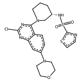 O=S(=O)(N[C@H]1CCCN(c2nc(Cl)nc3cc(N4CCOCC4)ccc23)C1)c1nccs1